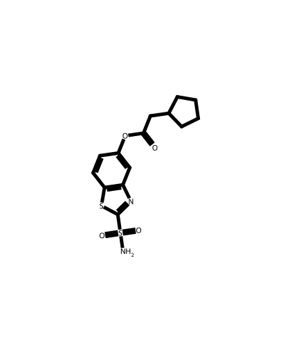 NS(=O)(=O)c1nc2cc(OC(=O)CC3CCCC3)ccc2s1